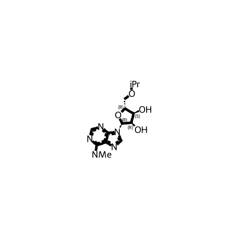 CNc1ncnc2c1ncn2[C@@H]1O[C@H](COC(C)C)[C@@H](O)[C@H]1O